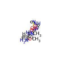 CCC1(OCCN)CC(C)CC(CN/C(C)=C(\C=N)c2ccc(N3CCc4cccc(C(=O)Nc5nc6ccccc6s5)c4C3)nc2C(=O)O)(CC(C)C)C1